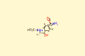 C[C@H](NC(=O)O)C(O)c1ccc(C(N)=O)c(F)c1